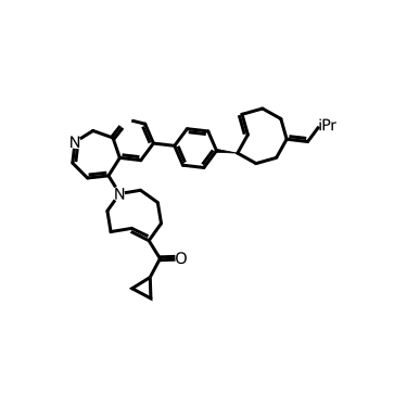 C=C1CN=CC=C(N2CC/C=C(\C(=O)C3CC3)CCC2)/C1=C/C(=C\C)c1ccc([C@H]2/C=C/CC/C(=C\C(C)C)CC2)cc1